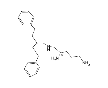 NCCC[C@H](N)CNCC(CCc1ccccc1)CCc1ccccc1